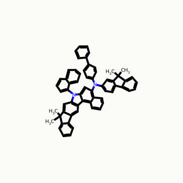 CC1(C)c2ccccc2-c2ccc(N(c3ccc(-c4ccccc4)cc3)c3cc4c(c5ccccc35)c3cc5c(cc3n4-c3cccc4ccccc34)C(C)(C)c3ccccc3-5)cc21